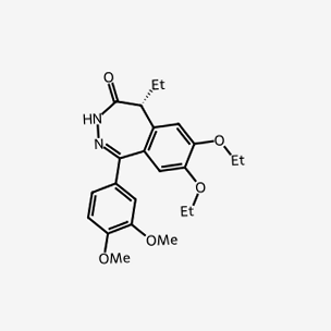 CCOc1cc2c(cc1OCC)[C@@H](CC)C(=O)NN=C2c1ccc(OC)c(OC)c1